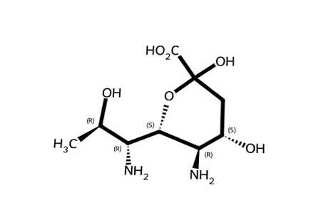 C[C@@H](O)[C@@H](N)[C@@H]1OC(O)(C(=O)O)C[C@H](O)[C@H]1N